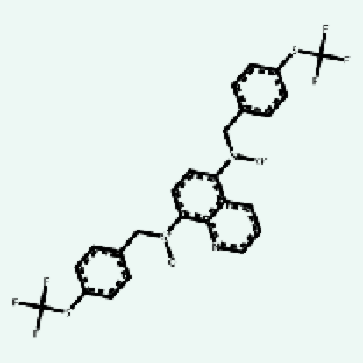 [O-][S+](Cc1ccc(SC(F)(F)F)cc1)c1ccc([S+]([O-])Cc2ccc(SC(F)(F)F)cc2)c2ncccc12